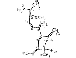 C=C/C(=C\C(=C/C)C(C)(C)F)C(=C)/C=C\C(C)=C(C)C